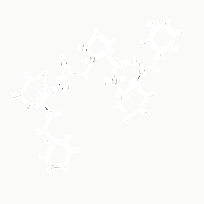 O=C(Cn1nccc1C(=O)N[C@H]1CCCC[C@@H]1OCc1ccccc1)N[C@H]1CCCC[C@@H]1OCc1ccccc1